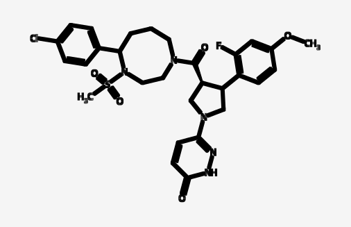 COc1ccc(C2CN(c3ccc(=O)[nH]n3)C[C@H]2C(=O)N2CCCC(c3ccc(Cl)cc3)N(S(C)(=O)=O)CC2)c(F)c1